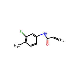 C=CC(=O)Nc1ccc(C)c(F)c1